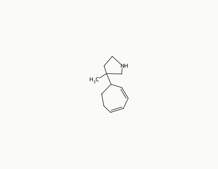 CC1(C2C=CC=CCC2)CCNC1